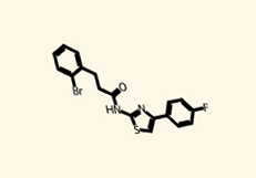 O=C(CCc1ccccc1Br)Nc1nc(-c2ccc(F)cc2)cs1